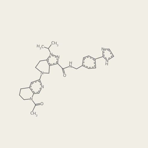 CC(=O)N1CCCc2cc(N3CCc4c(c(C(=O)NCc5ccc(-c6ncc[nH]6)cc5)nn4C(C)C)C3)ncc21